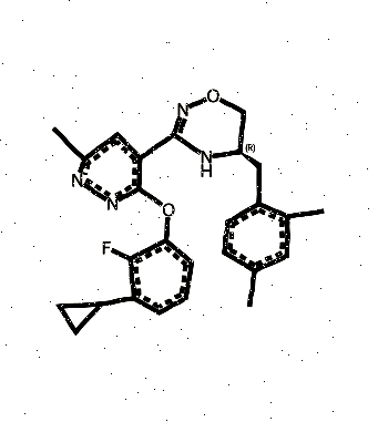 Cc1ccc(C[C@@H]2CON=C(c3cc(C)nnc3Oc3cccc(C4CC4)c3F)N2)c(C)c1